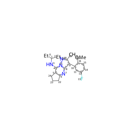 CCC(CC)Nc1c2c(nc3c(-c4cc(F)ccc4OC)c(C)nn13)CCC2